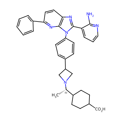 C[C@@H](C1CCC(C(=O)O)CC1)N1CC(c2ccc(-n3c(-c4cccnc4N)nc4ccc(-c5ccccc5)nc43)cc2)C1